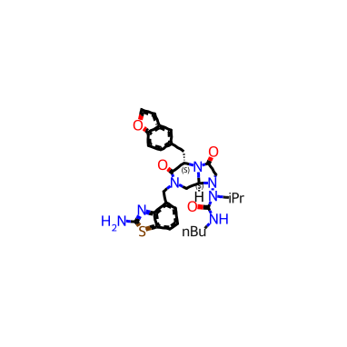 CCCCNC(=O)N(C(C)C)N1CC(=O)N2[C@@H](Cc3ccc4occc4c3)C(=O)N(Cc3cccc4sc(N)nc34)C[C@@H]21